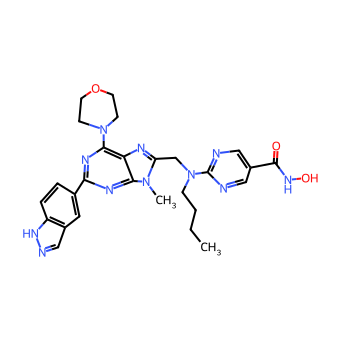 CCCCN(Cc1nc2c(N3CCOCC3)nc(-c3ccc4[nH]ncc4c3)nc2n1C)c1ncc(C(=O)NO)cn1